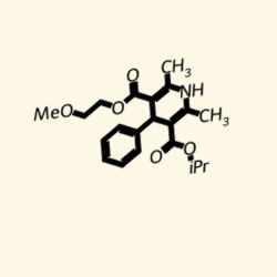 COCCOC(=O)C1=C(C)NC(C)=C(C(=O)OC(C)C)C1c1ccccc1